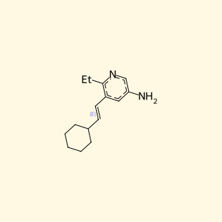 CCc1ncc(N)cc1/C=C/C1CCCCC1